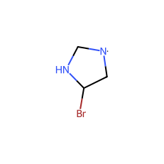 BrC1C[N]CN1